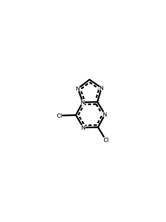 Clc1nc(Cl)n2ncnc2n1